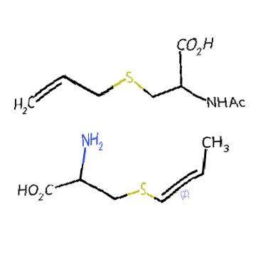 C/C=C\SCC(N)C(=O)O.C=CCSCC(NC(C)=O)C(=O)O